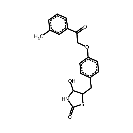 Cc1cccc(C(=O)COc2ccc(CC3SC(=O)NC3O)cc2)c1